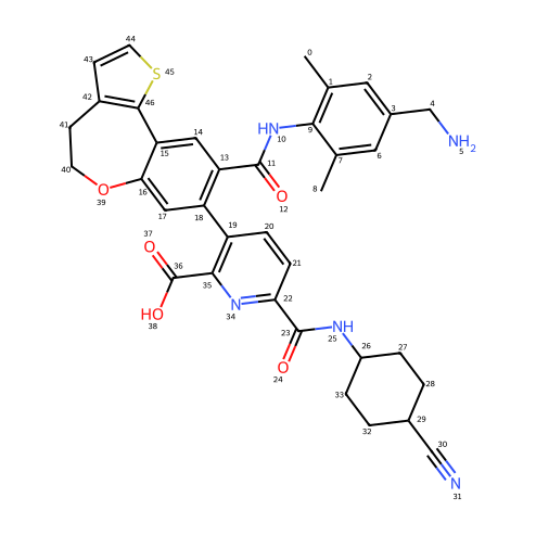 Cc1cc(CN)cc(C)c1NC(=O)c1cc2c(cc1-c1ccc(C(=O)NC3CCC(C#N)CC3)nc1C(=O)O)OCCc1ccsc1-2